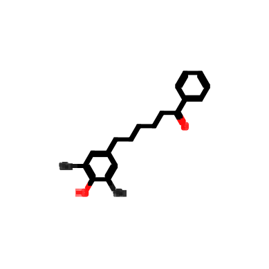 CC(C)(C)c1cc(CCCCCC(=O)c2ccccc2)cc(C(C)(C)C)c1O